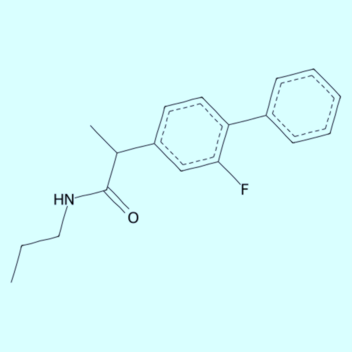 CCCNC(=O)C(C)c1ccc(-c2ccccc2)c(F)c1